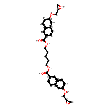 O=C(OCCCCCOC(=O)c1ccc2cc(OCC3CO3)ccc2c1)c1ccc2cc(OCC3CO3)ccc2c1